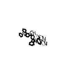 CC1(c2ccc3c(c2)c2ccccc2n3-c2ccccc2)C=c2c(n(-c3ccc(C#N)c(C#N)c3)c3ccccc23)=CC1